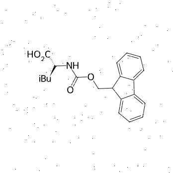 CC[C@H](C)[C@@H](NC(=O)OCC1c2ccccc2-c2ccccc21)C(=O)O